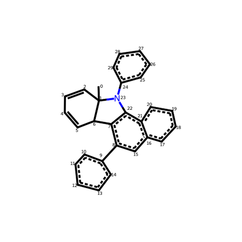 CC12C=CC=CC1c1c(-c3ccccc3)cc3ccccc3c1N2c1ccccc1